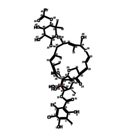 CCc1c(Cl)c(O)c(C)c(O)c1C(=O)O[C@H]1[C@H](O)[C@H](OC)[C@H](OC/C2=C\C=C\C[C@H](O)/C(C)=C/[C@H](CC)[C@@H](O[C@@H]3OC(C)(C)[C@@H](OC(=O)C(C)C)[C@H](O)[C@@H]3O)/C(C)=C/C(C)=C/C[C@@H]([C@@H](C)O)OC2=O)O[C@@H]1C